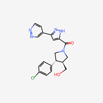 O=C(c1cc(-c2ccnnc2)n[nH]1)N1C[C@@H](CO)[C@H](c2ccc(Cl)cc2)C1